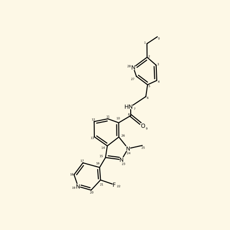 CCc1ccc(CNC(=O)c2cccc3c(-c4ccncc4F)nn(C)c23)cn1